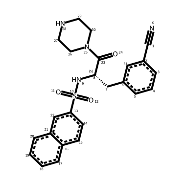 N#Cc1cccc(C[C@H](NS(=O)(=O)c2ccc3ccccc3c2)C(=O)N2CCNCC2)c1